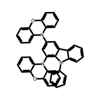 c1ccc(-n2c3ccccc3c3cc(N4c5ccccc5Oc5ccccc54)cc(N4c5ccccc5Oc5ccccc54)c32)cc1